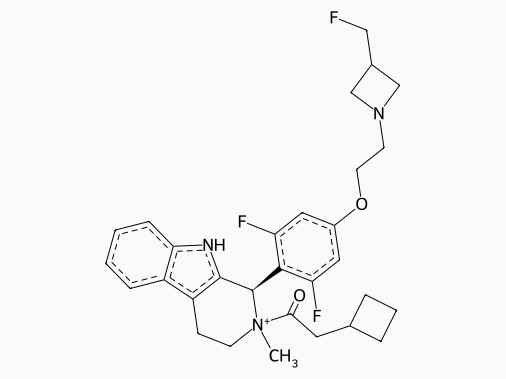 C[N+]1(C(=O)CC2CCC2)CCc2c([nH]c3ccccc23)[C@H]1c1c(F)cc(OCCN2CC(CF)C2)cc1F